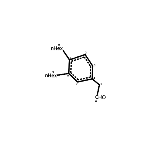 CCCCCCc1ccc(CC=O)cc1CCCCCC